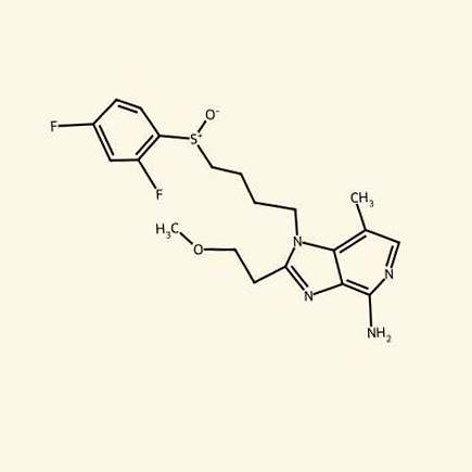 COCCc1nc2c(N)ncc(C)c2n1CCCC[S+]([O-])c1ccc(F)cc1F